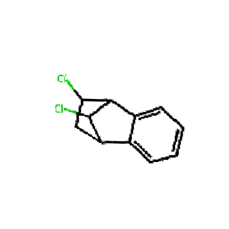 ClC1CC2c3ccccc3C1C2Cl